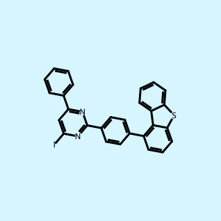 Ic1cc(-c2ccccc2)nc(-c2ccc(-c3cccc4sc5ccccc5c34)cc2)n1